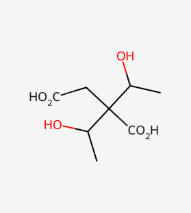 CC(O)C(CC(=O)O)(C(=O)O)C(C)O